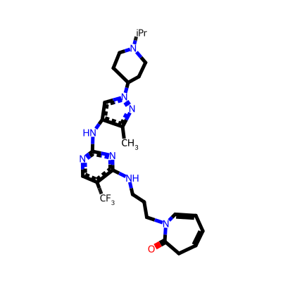 Cc1nn(C2CCN(C(C)C)CC2)cc1Nc1ncc(C(F)(F)F)c(NCCCN2C=CC=CCC2=O)n1